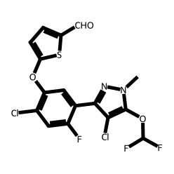 Cn1nc(-c2cc(Oc3ccc(C=O)s3)c(Cl)cc2F)c(Cl)c1OC(F)F